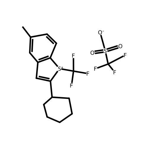 Cc1ccc2c(c1)cc(C1CCCCC1)[s+]2C(F)(F)F.O=S(=O)([O-])C(F)(F)F